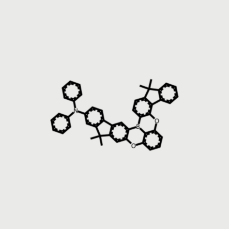 CC1(C)c2cc(N(c3ccccc3)c3ccccc3)ccc2-c2cc3c(cc21)Oc1cccc2c1B3c1ccc3c(c1O2)-c1ccccc1C3(C)C